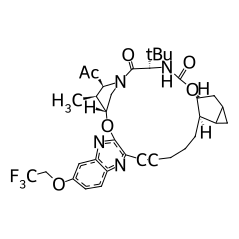 CC(=O)[C@@H]1[C@H](C)[C@@H]2CN1C(=O)[C@H](C(C)(C)C)NC(=O)O[C@@H]1CC3CC3[C@H]1CCCCCc1nc3ccc(OCC(F)(F)F)cc3nc1O2